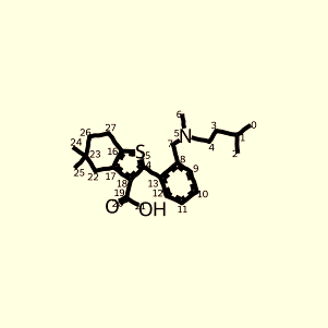 CC(C)CCN(C)Cc1ccccc1-c1sc2c(c1C(=O)O)CC(C)(C)CC2